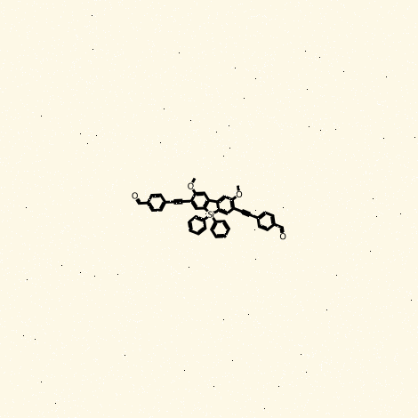 COc1cc2c(cc1C#Cc1ccc(C=O)cc1)[Si](c1ccccc1)(c1ccccc1)c1cc(C#Cc3ccc(C=O)cc3)c(OC)cc1-2